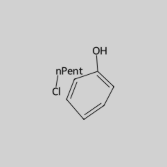 CCCCCCl.Oc1ccccc1